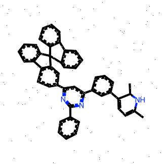 CC1=CC=C(c2cccc(-c3cc(-c4ccc5c(c4)C4(c6ccccc6-c6ccccc64)c4ccccc4-5)nc(-c4ccccc4)n3)c2)C(C)N1